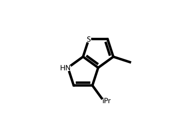 Cc1csc2[nH]cc(C(C)C)c12